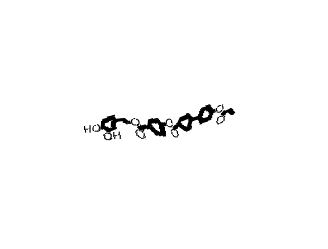 C=CC(=O)Oc1ccc(-c2ccc(C(=O)Oc3ccc(C(=O)OCCc4ccc(O)c(O)c4)cc3)cc2)cc1